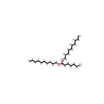 CCCCCCCCCCOC(CCCCCCl)OCCCCCCCCCC